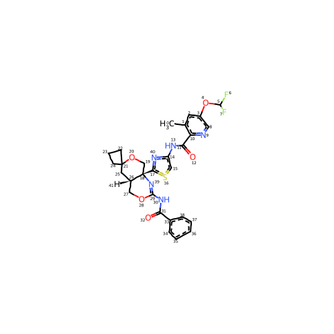 Cc1cc(OC(F)F)cnc1C(=O)Nc1csc([C@]23COC4(CCC4)C[C@H]2COC(NC(=O)c2ccccc2)=N3)n1